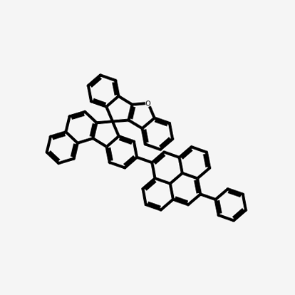 C1=CC2=CC(c3ccccc3)=C3C=CC=C4C=C(c5ccc6c(c5)C5(c7ccccc7-c7oc8ccccc8c75)c5ccc7ccccc7c5-6)C(=C1)C2C43